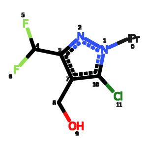 CC(C)n1nc(C(F)F)c(CO)c1Cl